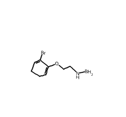 BNCCOC1=CCCC=C1Br